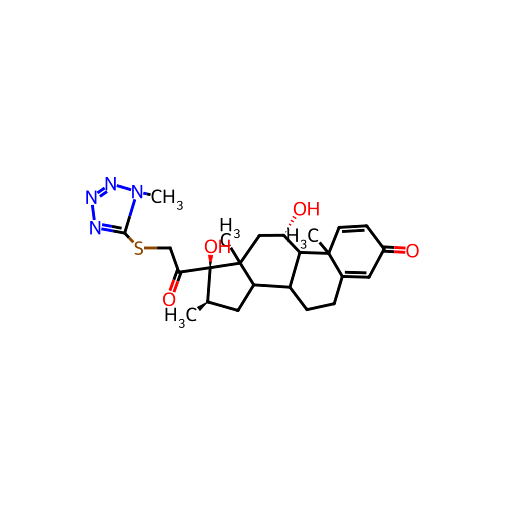 C[C@@H]1CC2C3CCC4=CC(=O)C=CC4(C)C3[C@@H](O)CC2(C)[C@@]1(O)C(=O)CSc1nnnn1C